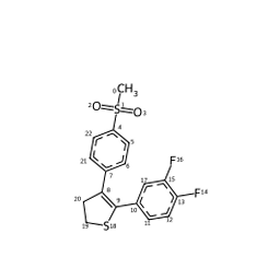 CS(=O)(=O)c1ccc(C2=C(c3ccc(F)c(F)c3)SCC2)cc1